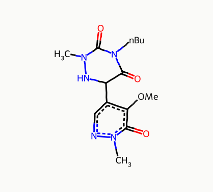 CCCCN1C(=O)C(c2cnn(C)c(=O)c2OC)NN(C)C1=O